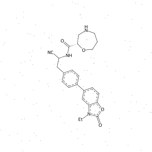 CCn1c(=O)oc2ccc(-c3ccc(CC(C#N)NC(=O)[C@@H]4CNCCCO4)cc3)cc21